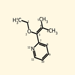 CCOC(=C(C)C)c1ccccn1